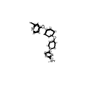 Cc1cc(O[C@H]2CC[C@H](OC3CCN(c4nc(C(C)C)no4)CC3)CC2)ccn1